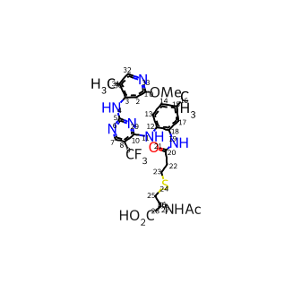 COc1cc(Nc2ncc(C(F)(F)F)c(Nc3ccc(C)cc3NC(=O)CCSC[C@H](NC(C)=O)C(=O)O)n2)c(C)cn1